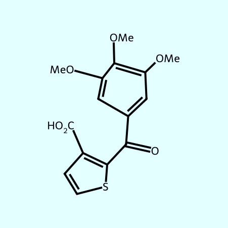 COc1cc(C(=O)c2sccc2C(=O)O)cc(OC)c1OC